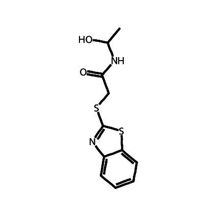 CC(O)NC(=O)CSc1nc2ccccc2s1